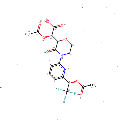 CC(=O)O[C@H](c1cccc(N2CCOC([C@@H](OC(C)=O)C(=O)O)C2=O)n1)C(F)(F)F